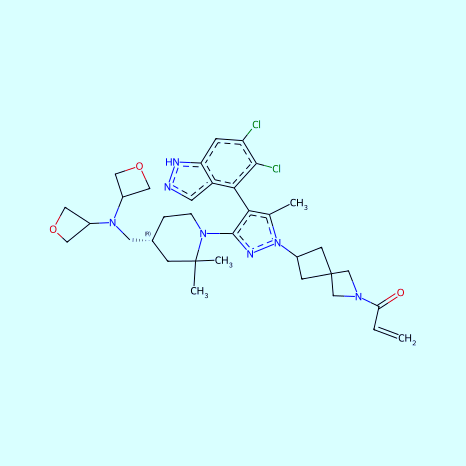 C=CC(=O)N1CC2(CC(n3nc(N4CC[C@@H](CN(C5COC5)C5COC5)CC4(C)C)c(-c4c(Cl)c(Cl)cc5[nH]ncc45)c3C)C2)C1